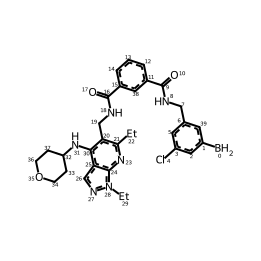 Bc1cc(Cl)cc(CNC(=O)c2cccc(C(=O)NCc3c(CC)nc4c(cnn4CC)c3NC3CCOCC3)c2)c1